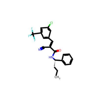 CCC[C@H](NC(=O)/C(C#N)=C/c1cc(Cl)cc(C(F)(F)F)c1)c1ccccc1